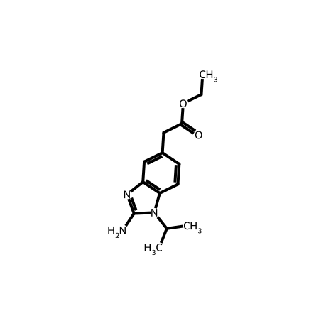 CCOC(=O)Cc1ccc2c(c1)nc(N)n2C(C)C